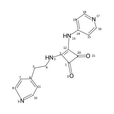 O=c1c(NCCc2ccncc2)c(Nc2ccncc2)c1=O